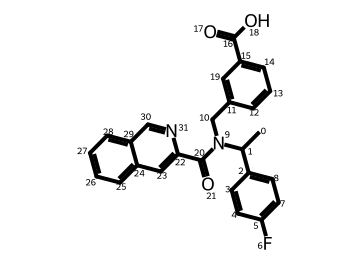 CC(c1ccc(F)cc1)N(Cc1cccc(C(=O)O)c1)C(=O)c1cc2ccccc2cn1